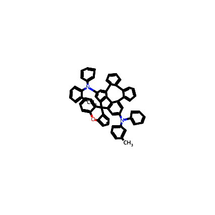 Cc1cccc(N(c2ccccc2)c2cc3c4c(c2)C2(c5ccccc5Oc5ccccc52)c2cc(N(c5ccccc5)c5ccccc5C)cc(c2-4)-c2ccccc2-c2ccccc2-3)c1